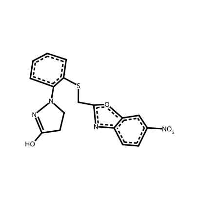 O=[N+]([O-])c1ccc2nc(CSc3ccccc3N3CCC(O)=N3)oc2c1